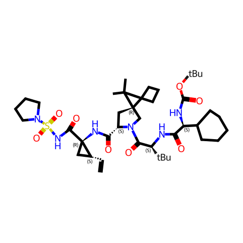 C=C[C@@H]1C[C@]1(NC(=O)[C@@H]1C[C@@]2(CN1C(=O)[C@@H](NC(=O)[C@@H](NC(=O)OC(C)(C)C)C1CCCCC1)C(C)(C)C)C(C)(C)C21CCC1)C(=O)NS(=O)(=O)N1CCCC1